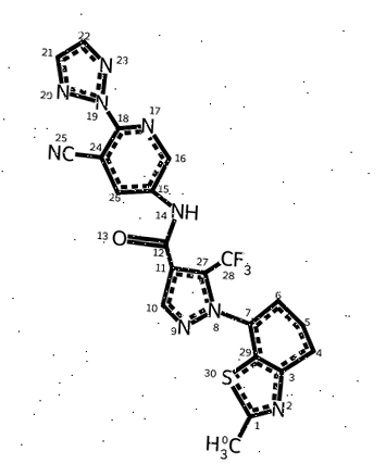 Cc1nc2cccc(-n3ncc(C(=O)Nc4cnc(-n5nccn5)c(C#N)c4)c3C(F)(F)F)c2s1